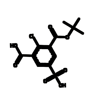 CC(C)(C)OC(=O)c1cc(S(=O)(=O)O)cc(C(=O)O)c1Cl